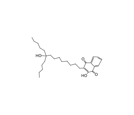 CCCCCC(O)(CCCCC)CCCCCCCCC1=C(O)C(=O)c2ccccc2C1=O